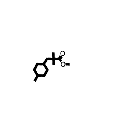 COC(=O)C(C)(C)CC1CCC(C)CC1